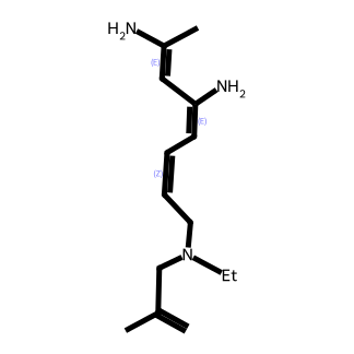 C=C(C)CN(CC)C\C=C/C=C(N)\C=C(/C)N